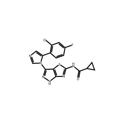 O=C(Nc1nc2[nH]nc(-n3cncc3-c3ccc(F)cc3Cl)c2s1)C1CC1